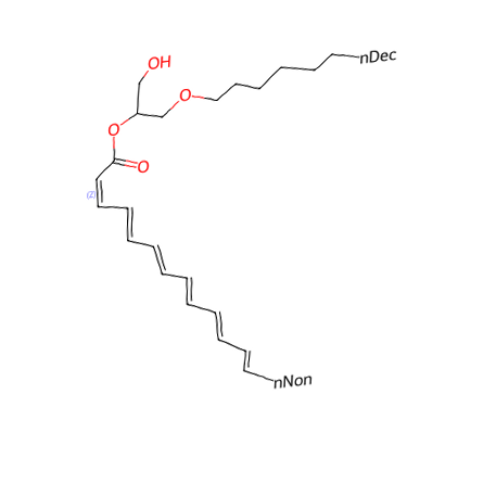 CCCCCCCCCC=CC=CC=CC=CC=C/C=C\C(=O)OC(CO)COCCCCCCCCCCCCCCCC